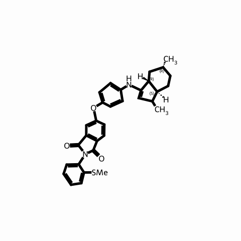 CSc1ccccc1N1C(=O)c2ccc(Oc3ccc(NC4=CC(C)[C@@H]5CC[C@@H](C)C[C@@H]45)cc3)cc2C1=O